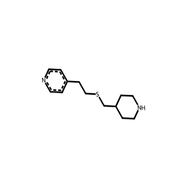 c1cc(CCSCC2CCNCC2)ccn1